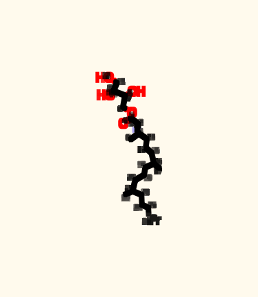 C/C(=C\C(=O)OC[C@H](O)[C@H](O)CO)CCCC(C)CCCC(C)CCCC(C)C